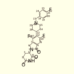 O=C1CCC(N2Cc3c(cc(F)c(C4CCN(Cc5ccc(F)cc5)CC4)c3F)C2=O)C(=O)N1